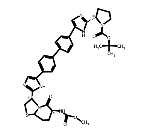 COC(=O)N[C@H]1CCC2SC[C@@H](c3ncc(-c4ccc(-c5ccc(-c6cnc([C@@H]7CCCN7C(=O)OC(C)(C)C)[nH]6)cc5)cc4)[nH]3)N2C1=O